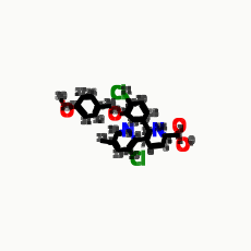 COC(=O)c1ccc(-c2ncc(C)cc2Cl)c(-c2ccc(Cl)c(OCc3ccc(OC)cc3)c2)n1